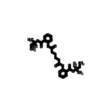 CCC(C)(C)OC(=O)c1ccccc1OC(=O)CCCCC(=O)Oc1ccccc1C(=O)OC(C)(C)CC